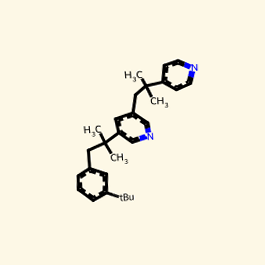 CC(C)(C)c1cccc(CC(C)(C)c2cncc(CC(C)(C)c3ccncc3)c2)c1